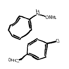 CONc1ccccc1.O=Cc1ccc(Cl)cc1